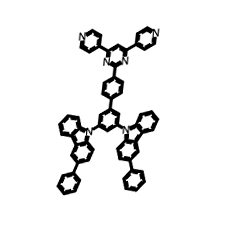 c1ccc(-c2ccc3c(c2)c2ccccc2n3-c2cc(-c3ccc(-c4nc(-c5ccncc5)cc(-c5ccncc5)n4)cc3)cc(-n3c4ccccc4c4cc(-c5ccccc5)ccc43)c2)cc1